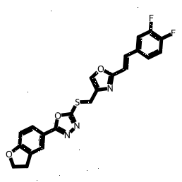 Fc1ccc(/C=C/c2nc(CSc3nnc(-c4ccc5c(c4)CCO5)o3)co2)cc1F